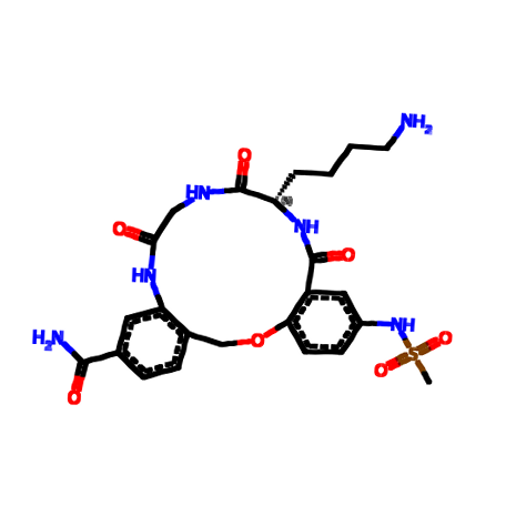 CS(=O)(=O)Nc1ccc2c(c1)C(=O)N[C@@H](CCCCN)C(=O)NCC(=O)Nc1cc(C(N)=O)ccc1CO2